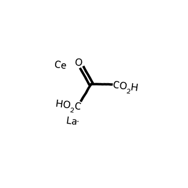 O=C(O)C(=O)C(=O)O.[Ce].[La]